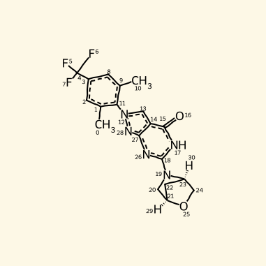 Cc1cc(C(F)(F)F)cc(C)c1-n1cc2c(=O)[nH]c(N3C[C@H]4C[C@@H]3CO4)nc2n1